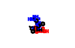 Cc1cnc2c(S(=O)(=O)N[C@H](Cc3c[nH]c4ccccc34)C(=O)NCC3CCCN(C(=N)N)C3)cccc2c1.O=S(O)O